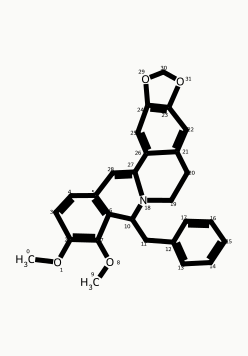 COc1ccc2c(c1OC)C(Cc1ccccc1)N1CCc3cc4c(cc3C1=C2)OCO4